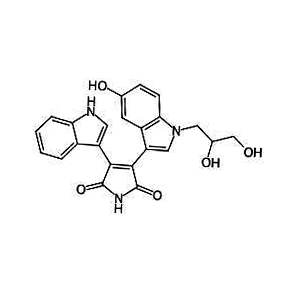 O=C1NC(=O)C(c2cn(CC(O)CO)c3ccc(O)cc23)=C1c1c[nH]c2ccccc12